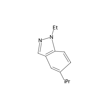 CCn1ncc2cc(C(C)C)ccc21